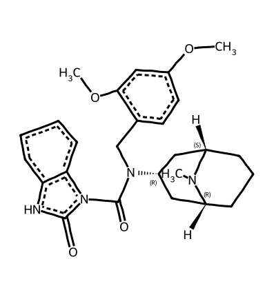 COc1ccc(CN(C(=O)n2c(=O)[nH]c3ccccc32)[C@H]2C[C@H]3CCC[C@@H](C2)N3C)c(OC)c1